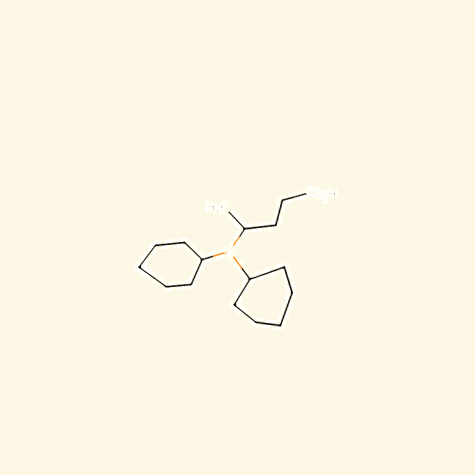 CC(CCS(=O)(=O)O)P(C1CCCCC1)C1CCCCC1